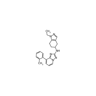 CCn1ncc2c1CCC(Nc1nc3c(-c4ccccc4C)cccn3n1)C2